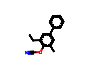 CCc1cc(-c2ccccc2)cc(C)c1OC#N